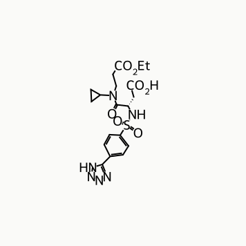 CCOC(=O)CCN(C(=O)[C@H](CC(=O)O)NS(=O)(=O)c1ccc(-c2nnn[nH]2)cc1)C1CC1